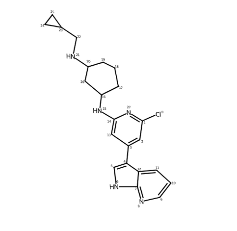 Clc1cc(-c2c[nH]c3ncccc23)cc(NC2CCCC(NCC3CC3)C2)n1